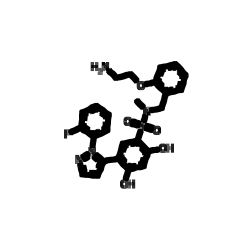 CN(Cc1ccccc1OCCN)S(=O)(=O)c1cc(-c2ccnn2-c2ccccc2F)c(O)cc1O